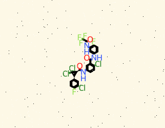 O=C(Nc1ccc(F)c(NC(=O)C(F)(F)F)c1)c1cc(NC(=O)[C@H]2[C@H](c3ccc(F)c(Cl)c3)C2(Cl)Cl)ccc1Cl